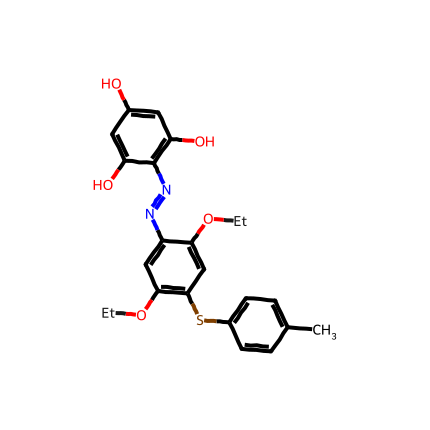 CCOc1cc(Sc2ccc(C)cc2)c(OCC)cc1/N=N/c1c(O)cc(O)cc1O